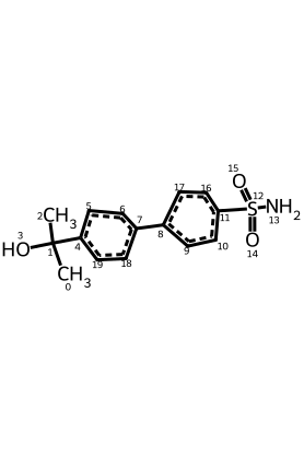 CC(C)(O)c1ccc(-c2ccc(S(N)(=O)=O)cc2)cc1